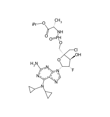 CC(C)OC(=O)[C@H](C)N[PH](=O)OC[C@@]1(CCl)O[C@@H](n2cnc3c(N(C4CC4)C4CC4)nc(N)nc32)[C@@H](F)[C@@H]1O